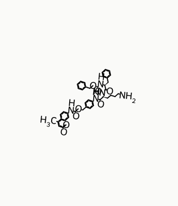 Cc1cc(=O)oc2cc(NC(=O)OCc3ccc(NC(=O)[C@H](CCCCN)NC(=O)[C@H](Cc4ccccc4)NC(=O)OCc4ccccc4)cc3)ccc12